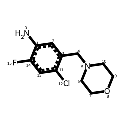 Nc1cc(CN2CCOCC2)c(Cl)cc1F